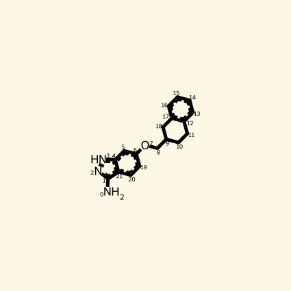 Nc1n[nH]c2cc(OCC3CCc4ccccc4C3)ccc12